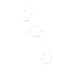 CS(=O)(=O)NC(=O)c1cc(F)c(COc2cc(Cl)ccc2Cl)cc1F